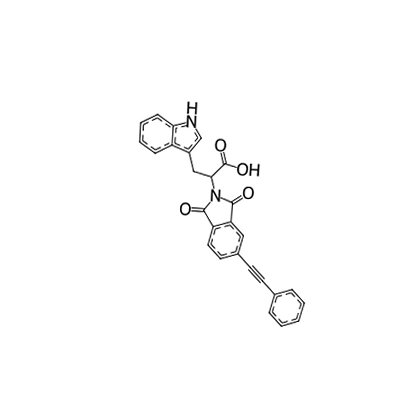 O=C(O)C(Cc1c[nH]c2ccccc12)N1C(=O)c2ccc(C#Cc3ccccc3)cc2C1=O